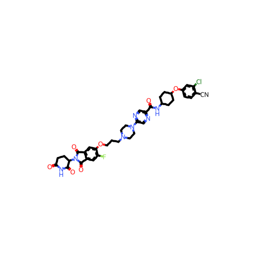 N#Cc1ccc(OC2CCC(NC(=O)c3cnc(N4CCN(CCCOc5cc6c(cc5F)C(=O)N(C5CCC(=O)NC5=O)C6=O)CC4)cn3)CC2)cc1Cl